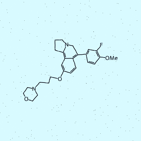 COc1ccc(C2=c3ccc(OCCCN4CCOCC4)cc3=C3CCCN3C2)cc1F